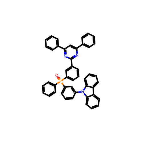 O=P(c1ccccc1)(c1cccc(-c2nc(-c3ccccc3)cc(-c3ccccc3)n2)c1)c1cccc(-n2c3ccccc3c3ccccc32)c1